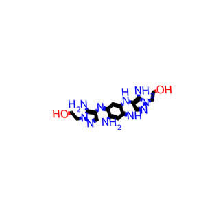 N=C1C=C(N)/C(=N\c2cnn(CCO)c2N)C=C1Nc1cnn(CCO)c1N